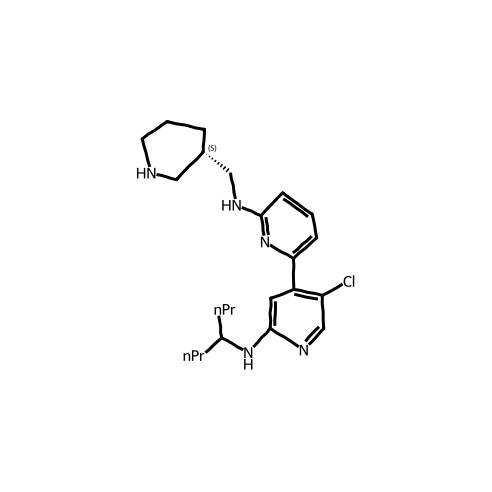 CCCC(CCC)Nc1cc(-c2cccc(NC[C@H]3CCCNC3)n2)c(Cl)cn1